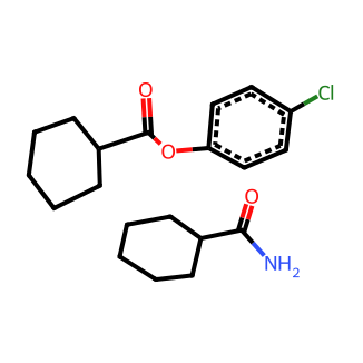 NC(=O)C1CCCCC1.O=C(Oc1ccc(Cl)cc1)C1CCCCC1